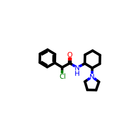 O=C(NC1CCCCC1N1CCCC1)C(Cl)c1ccccc1